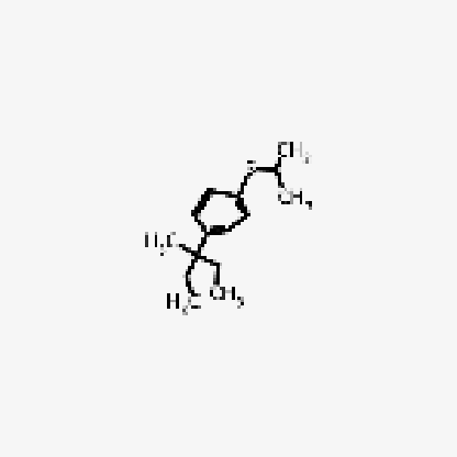 CCC(C)(CC)c1ccc(SC(C)C)cc1